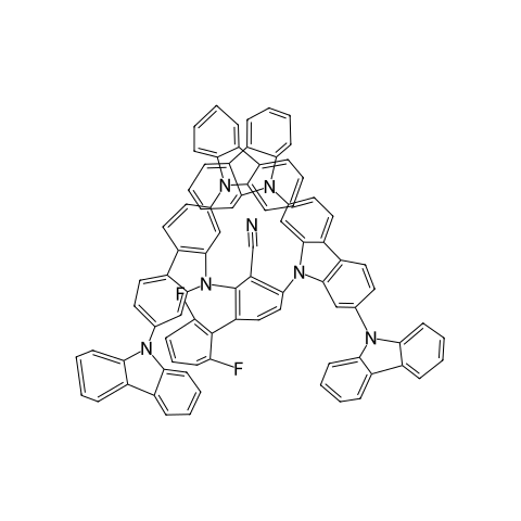 N#Cc1c(-n2c3cc(-n4c5ccccc5c5ccccc54)ccc3c3ccc(-n4c5ccccc5c5ccccc54)cc32)ccc(-c2c(F)cccc2F)c1-n1c2cc(-n3c4ccccc4c4ccccc43)ccc2c2ccc(-n3c4ccccc4c4ccccc43)cc21